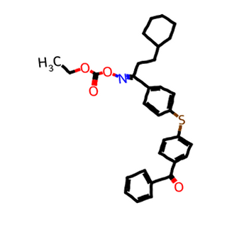 CCOC(=O)O/N=C(\CCC1CCCCC1)c1ccc(Sc2ccc(C(=O)c3ccccc3)cc2)cc1